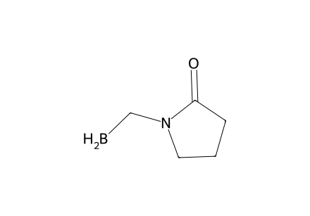 BCN1CCCC1=O